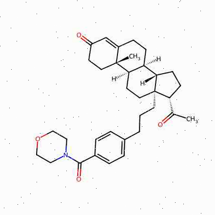 CC(=O)[C@H]1CC[C@H]2[C@@H]3CCC4=CC(=O)CC[C@@]4(C)[C@@H]3CC[C@]12CCCc1ccc(C(=O)N2CCOCC2)cc1